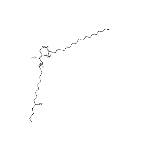 CCCCCCCCCCCCCCCCCC(=O)NC(CO)C(O)/C=C/CCCCCCCCC(Br)CCCC